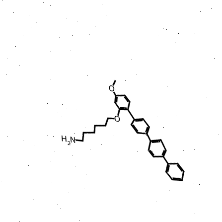 COc1ccc(-c2ccc(-c3ccc(-c4ccccc4)cc3)cc2)c(OCCCCCCN)c1